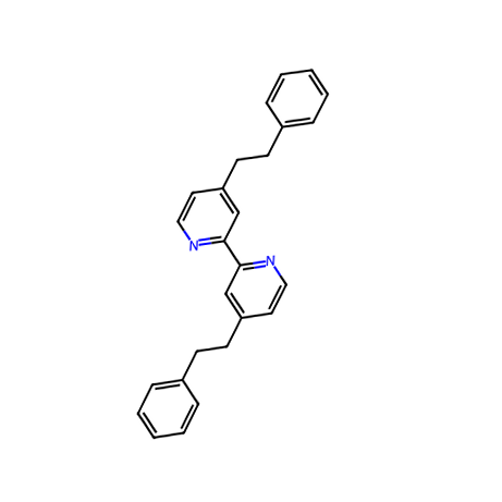 c1ccc(CCc2ccnc(-c3cc(CCc4ccccc4)ccn3)c2)cc1